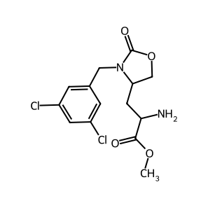 COC(=O)C(N)CC1COC(=O)N1Cc1cc(Cl)cc(Cl)c1